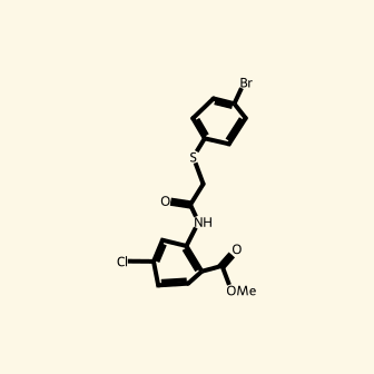 COC(=O)c1ccc(Cl)cc1NC(=O)CSc1ccc(Br)cc1